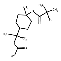 CCC(C)(C)C(=O)OC1(C)CCC(C(C)(OC(=O)C(C)C)C(F)(F)F)CC1